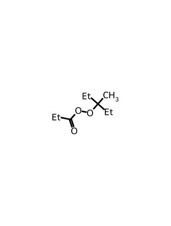 CCC(=O)OOC(C)(CC)CC